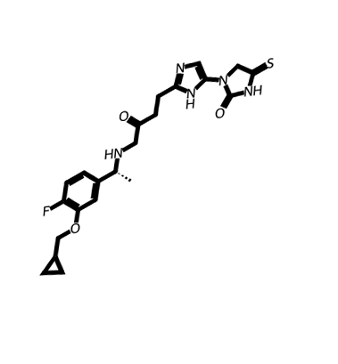 C[C@@H](NCC(=O)CCc1ncc(N2CC(=S)NC2=O)[nH]1)c1ccc(F)c(OCC2CC2)c1